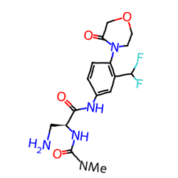 CNC(=O)N[C@@H](CN)C(=O)Nc1ccc(N2CCOCC2=O)c(C(F)F)c1